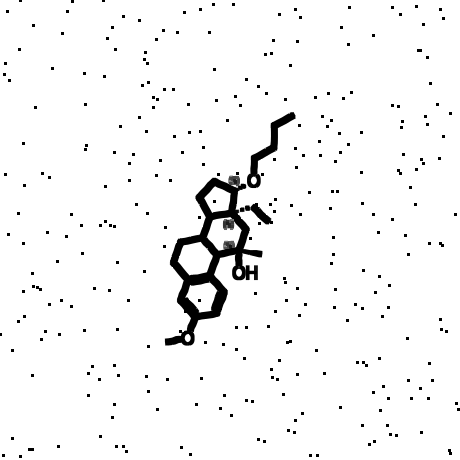 CCCCO[C@H]1CCC2C3CCc4cc(OC)ccc4C3[C@@](C)(O)C[C@@]21CC